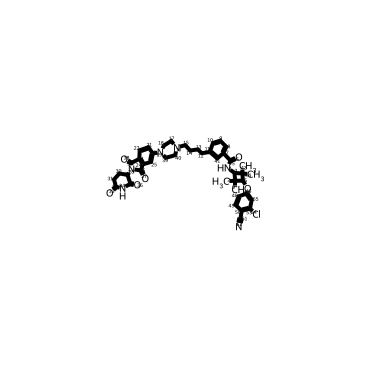 CC1(C)C(NC(=O)c2cccc(CCCCN3CCN(c4ccc5c(c4)C(=O)N(C4CCC(=O)NC4=O)C5=O)CC3)c2)C(C)(C)C1Oc1ccc(C#N)c(Cl)c1